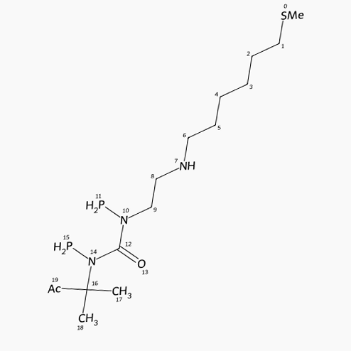 CSCCCCCCNCCN(P)C(=O)N(P)C(C)(C)C(C)=O